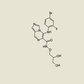 O=C(NOCC(O)CO)c1ncc2cncn2c1Nc1ccc(Br)cc1F